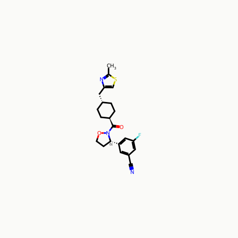 Cc1nc(C[C@H]2CC[C@H](C(=O)N3OCC[C@H]3c3cc(F)cc(C#N)c3)CC2)cs1